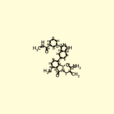 C=C(CN1Cc2c(-c3ccc4[nH]nc(-c5cccc(C(=O)NC)c5)c4c3)ccc(N)c2C1=O)C(N)=O